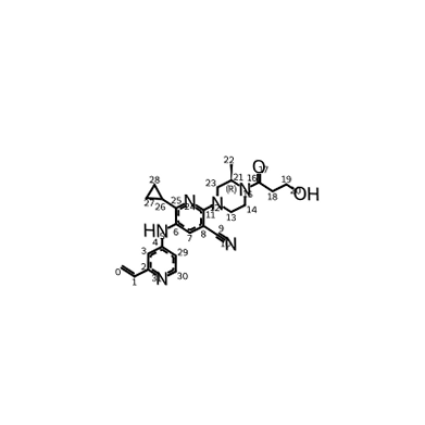 C=Cc1cc(Nc2cc(C#N)c(N3CCN(C(=O)CCO)[C@H](C)C3)nc2C2CC2)ccn1